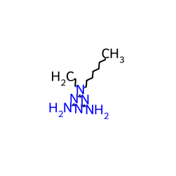 C=CCN(CCCCCCCC)c1nc(N)nc(N)n1